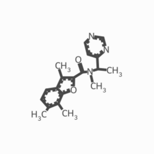 Cc1ccc2c(C)c(C(=O)N(C)C(C)c3ccncn3)oc2c1C